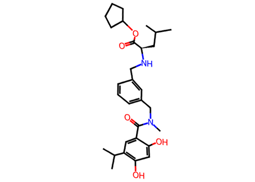 CC(C)C[C@@H](NCc1cccc(CN(C)C(=O)c2cc(C(C)C)c(O)cc2O)c1)C(=O)OC1CCCC1